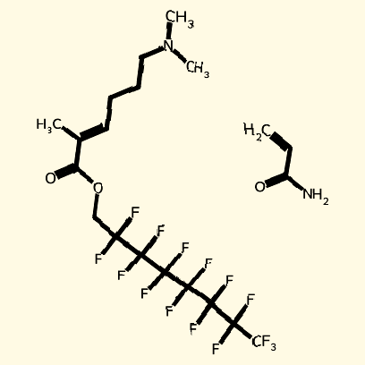 C=CC(N)=O.CC(=CCCCN(C)C)C(=O)OCC(F)(F)C(F)(F)C(F)(F)C(F)(F)C(F)(F)C(F)(F)C(F)(F)F